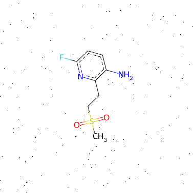 CS(=O)(=O)CCc1nc(F)ccc1N